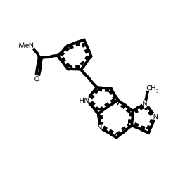 CNC(=O)c1cccc(-c2cc3c(ncc4cnn(C)c43)[nH]2)c1